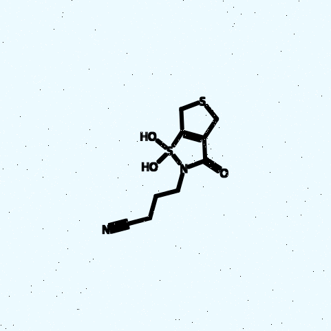 N#CCCCN1C(=O)C2=C(CSC2)S1(O)O